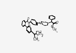 COC(=O)C(c1ccccc1)C1CCN(c2ccc(NC(=O)c3ccccc3-c3ccc(C(C)C)cc3)cc2)CC1